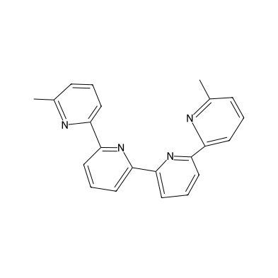 Cc1cccc(-c2cccc(-c3cccc(-c4cccc(C)n4)n3)n2)n1